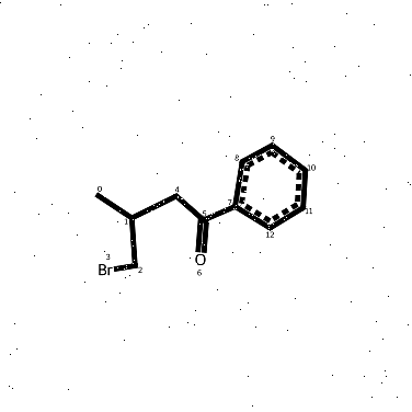 CC(CBr)CC(=O)c1ccccc1